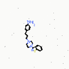 Nc1ccc(CCCN2CCN(c3nsc4ccccc34)CC2)cc1